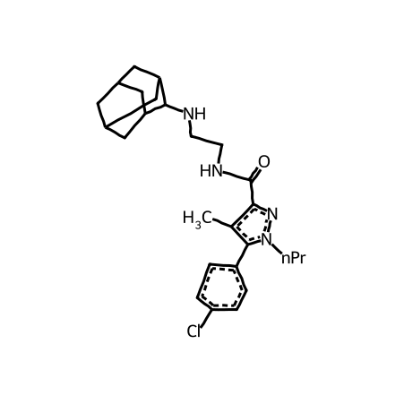 CCCn1nc(C(=O)NCCNC2C3CC4CC(C3)CC2C4)c(C)c1-c1ccc(Cl)cc1